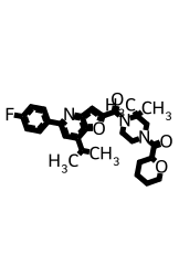 CC(C)c1cc(-c2ccc(F)cc2)nc2cc(C(=O)N3CCN(C(=O)C4CCCCO4)CC3(C)C)oc12